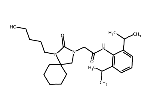 CC(C)c1cccc(C(C)C)c1NC(=O)CN1CC2(CCCCC2)N(CCCCO)C1=O